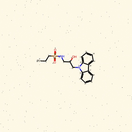 CC(C)CCS(=O)(=O)NCC(O)Cn1c2ccccc2c2ccccc21